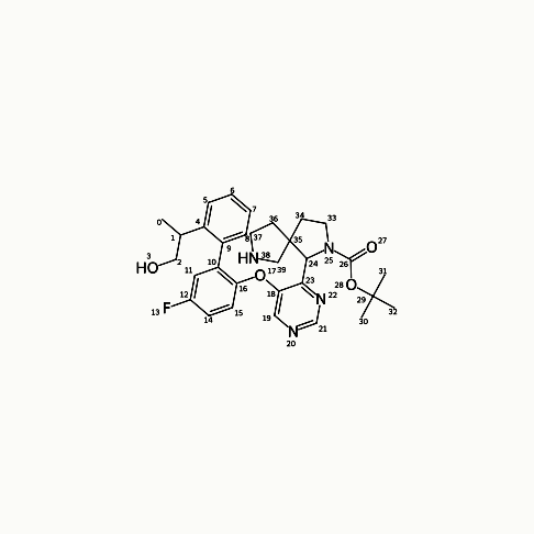 CC(CO)c1ccccc1-c1cc(F)ccc1Oc1cncnc1C1N(C(=O)OC(C)(C)C)CCC12CCNC2